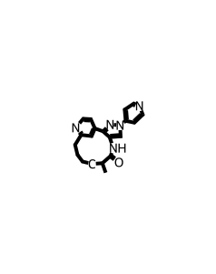 CC1CCCCc2cc(ccn2)-c2nn(-c3ccncc3)cc2NC1=O